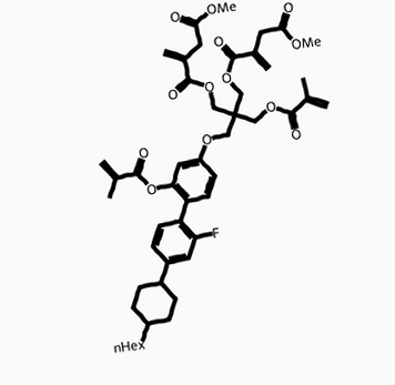 C=C(C)C(=O)OCC(COC(=O)C(=C)CC(=O)OC)(COC(=O)C(=C)CC(=O)OC)COc1ccc(-c2ccc(C3CCC(CCCCCC)CC3)cc2F)c(OC(=O)C(=C)C)c1